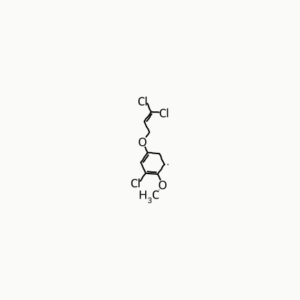 COC1=C(Cl)C=C(OCC=C(Cl)Cl)C[CH]1